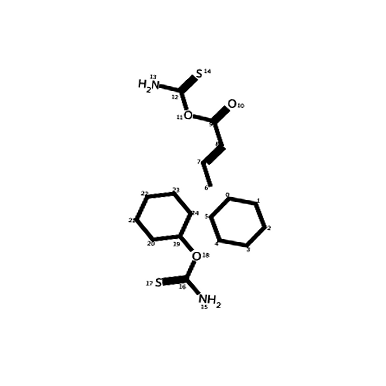 C1CCCCC1.CC=CC(=O)OC(N)=S.NC(=S)OC1CCCCC1